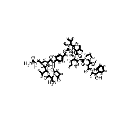 CC[C@H](C)[C@@H]([C@@H](CC(=O)N1CCC[C@H]1[C@H](OC)[C@@H](C)C(=O)N[C@H](C)[C@@H](O)c1ccccc1)OC)N(C)C(=O)C(NC(=O)C(C(C)C)N(C)C(=O)OCc1ccc(NC(=O)[C@H](CCCNC(N)=O)NC(=O)C(NC(=O)C(CN)N2C(=O)CCC2=O)C(C)C)cc1)C(C)C